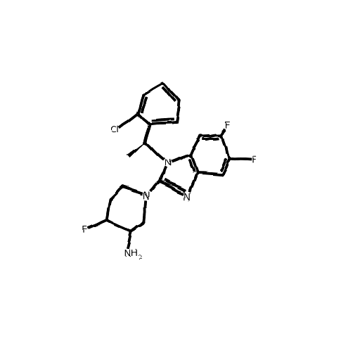 C[C@@H](c1ccccc1Cl)n1c(N2CCC(F)C(N)C2)nc2cc(F)c(F)cc21